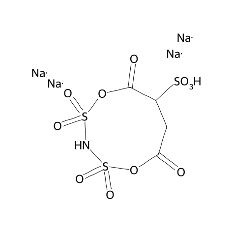 O=C1CC(S(=O)(=O)O)C(=O)OS(=O)(=O)NS(=O)(=O)O1.[Na].[Na].[Na].[Na]